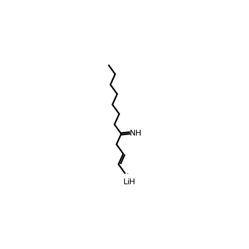 [CH2]C=CCC(=N)CCCCCCC.[LiH]